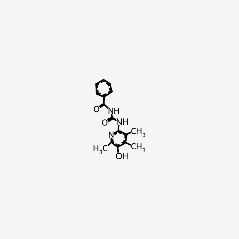 Cc1nc(NC(=O)NC(=O)c2ccccc2)c(C)c(C)c1O